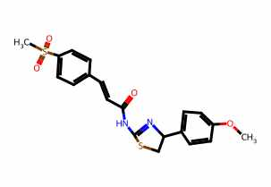 COc1ccc(C2CSC(NC(=O)/C=C/c3ccc(S(C)(=O)=O)cc3)=N2)cc1